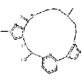 CN1CCCNC(=O)c2nn(C)cc2NC(O)c2cccc(n2)-c2cnn(c2)CC1